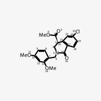 COC(=O)[C@@H]1CN(Cc2ccc(OC)cc2OC)C(=O)c2ccc(Cl)cc21